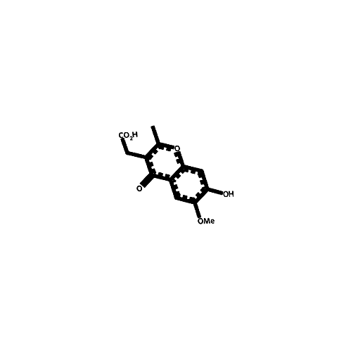 COc1cc2c(=O)c(CC(=O)O)c(C)oc2cc1O